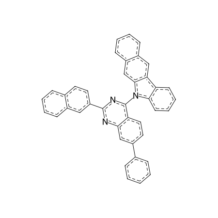 c1ccc(-c2ccc3c(-n4c5ccccc5c5cc6ccccc6cc54)nc(-c4ccc5ccccc5c4)nc3c2)cc1